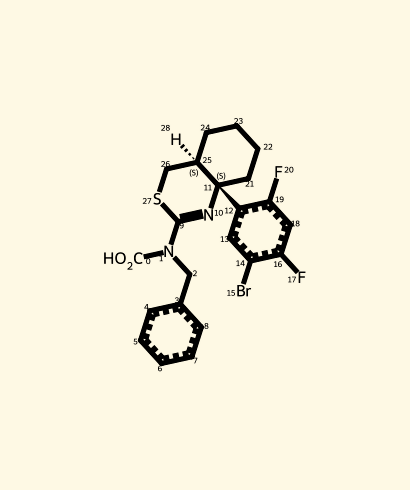 O=C(O)N(Cc1ccccc1)C1=N[C@@]2(c3cc(Br)c(F)cc3F)CCCC[C@@H]2CS1